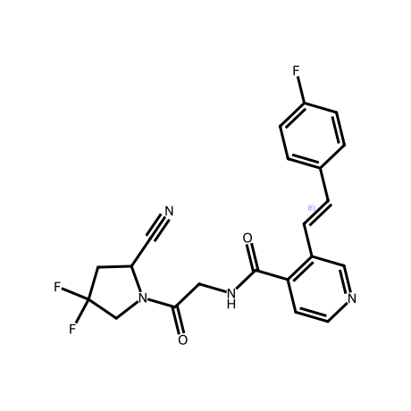 N#CC1CC(F)(F)CN1C(=O)CNC(=O)c1ccncc1/C=C/c1ccc(F)cc1